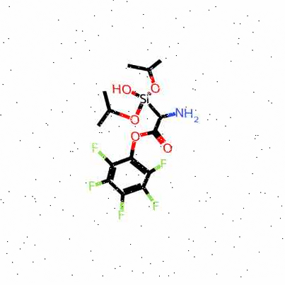 CC(C)O[Si](O)(OC(C)C)C(N)C(=O)Oc1c(F)c(F)c(F)c(F)c1F